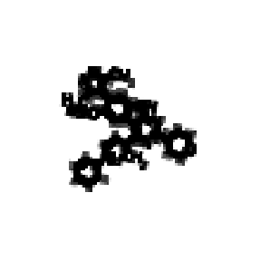 C=C(/C=C\NC1C=CC=CC1)c1nc(C2CCOCC2)nc2[nH]c3cc(-c4c(C)noc4C)c(OC)cc3c12